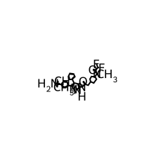 CN(C(=O)C(F)F)C1CCC(CC(=O)Nc2cc(-c3ccccc3)c(-c3ccc(C(C)(C)N)cc3)nn2)CC1